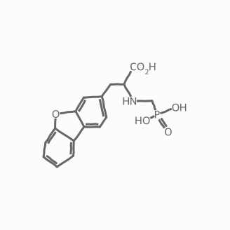 O=C(O)C(Cc1ccc2c(c1)oc1ccccc12)NCP(=O)(O)O